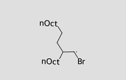 CCCCCCCCCCC([CH]Br)CCCCCCCC